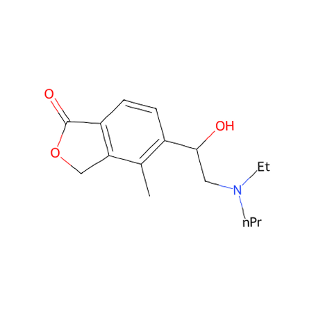 CCCN(CC)CC(O)c1ccc2c(c1C)COC2=O